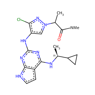 CNC(=O)C(C)n1cc(Nc2nc(N[C@@H](C)C3CC3)c3cc[nH]c3n2)c(Cl)n1